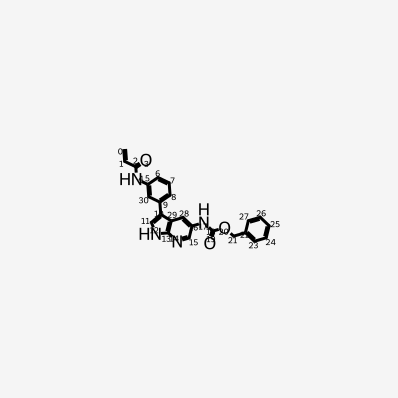 C=CC(=O)Nc1cccc(-c2c[nH]c3ncc(NC(=O)OCc4ccccc4)cc23)c1